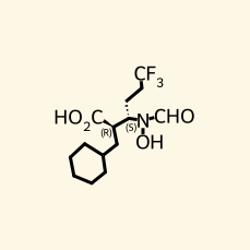 O=CN(O)[C@@H](CCC(F)(F)F)[C@@H](CC1CCCCC1)C(=O)O